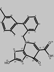 Cc1ccc(C)c(-c2ccccc2Cn2cc(C(=O)O)c(=O)c3nc(O)sc32)c1